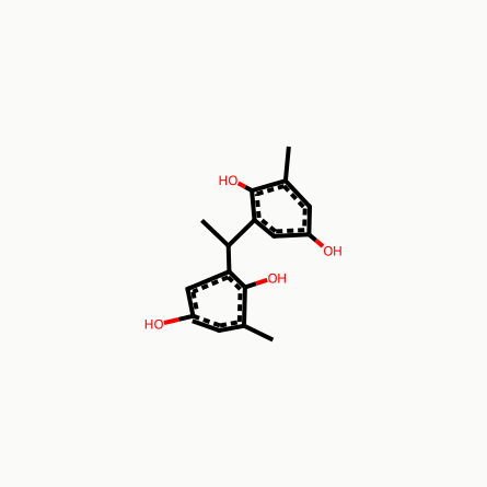 Cc1cc(O)cc(C(C)c2cc(O)cc(C)c2O)c1O